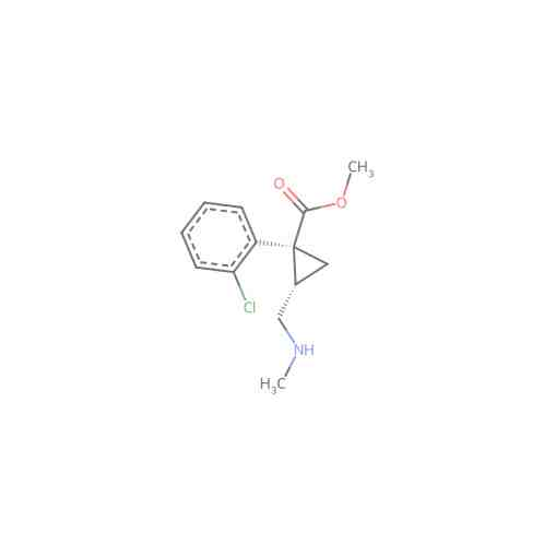 CNC[C@H]1C[C@@]1(C(=O)OC)c1ccccc1Cl